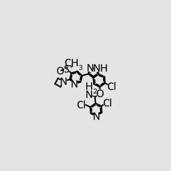 C[S+]([O-])c1cc(-c2n[nH]c3cc(Cl)c(O[C@H](N)c4c(Cl)cncc4Cl)cc23)cnc1N1CCC1